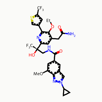 CCOc1c(CC(N)=O)cc([C@@](O)(CNC(=O)c2cc(OC)c3nn(C4CC4)cc3c2)C(F)(F)F)nc1-c1csc(C(F)(F)F)c1